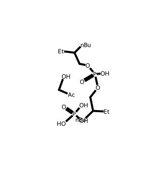 CC(=O)CO.CCCCC(CC)COP(=O)(O)OCC(CC)CCCC.O=P(O)(O)O